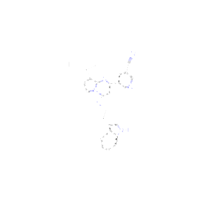 CC(C)c1ccn2c(NCCc3c[nH]c4ccccc34)cc(-c3cncc(C#N)c3)nc12